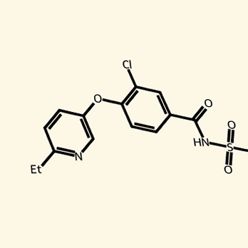 CCc1ccc(Oc2ccc(C(=O)NS(C)(=O)=O)cc2Cl)cn1